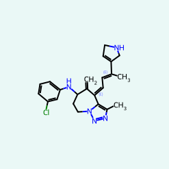 C=C1/C(=C\C=C(/C)C2=CCNC2)c2c(C)nnn2CCC1Nc1cccc(Cl)c1